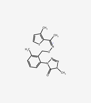 C/C(=N/OCc1c(C)cccc1-n1nnn(C)c1=O)c1sccc1C